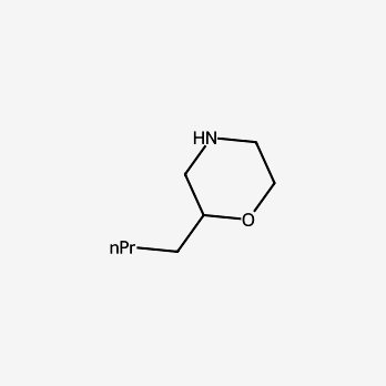 [CH2]CCCC1CNCCO1